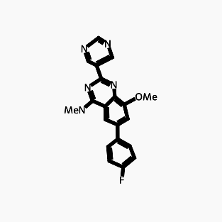 CNc1nc(-c2cncnc2)nc2c(OC)cc(-c3ccc(F)cc3)cc12